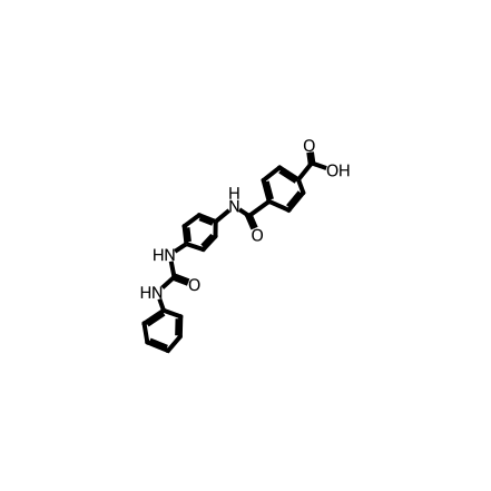 O=C(Nc1ccccc1)Nc1ccc(NC(=O)c2ccc(C(=O)O)cc2)cc1